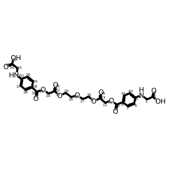 O=C(O)CNc1ccc(C(=O)OCC(=O)OCCOCCOC(=O)COC(=O)c2ccc(NCC(=O)O)cc2)cc1